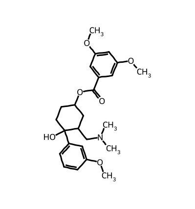 COc1cc(OC)cc(C(=O)OC2CCC(O)(c3cccc(OC)c3)C(CN(C)C)C2)c1